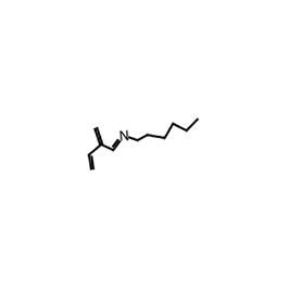 C=CC(=C)C=NCCCCCC